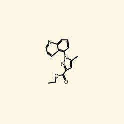 CCOC(=O)c1cc(C)n(-c2cccc3ncccc23)n1